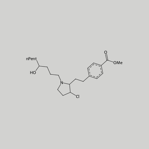 CCCCCC(O)CCCN1CCC(Cl)C1CCc1ccc(C(=O)OC)cc1